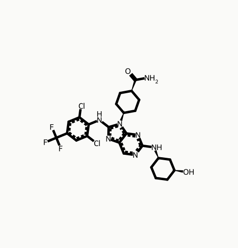 NC(=O)[C@H]1CC[C@@H](n2c(Nc3c(Cl)cc(C(F)(F)F)cc3Cl)nc3cnc(N[C@@H]4CCC[C@H](O)C4)nc32)CC1